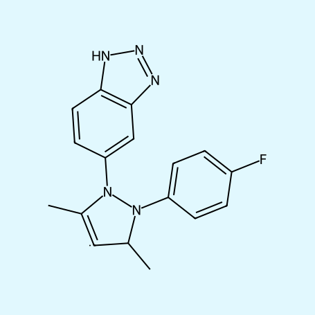 CC1=[C]C(C)N(c2ccc(F)cc2)N1c1ccc2[nH]nnc2c1